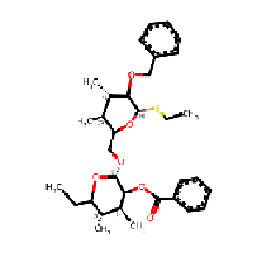 CCS[C@H]1OC(CO[C@H]2OC(CC)[C@@H](C)[C@H](C)C2OC(=O)c2ccccc2)[C@@H](C)[C@H](C)C1OCc1ccccc1